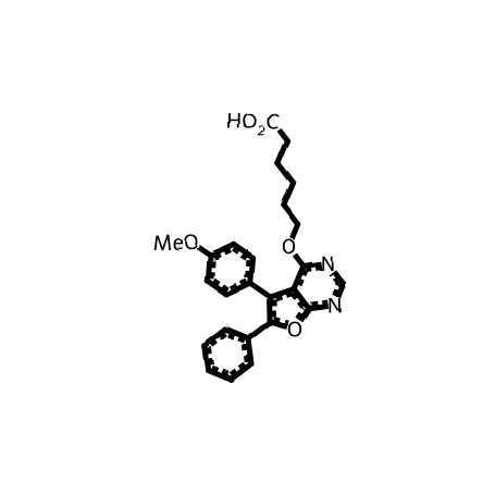 COc1ccc(-c2c(-c3ccccc3)oc3ncnc(OCCCCCC(=O)O)c23)cc1